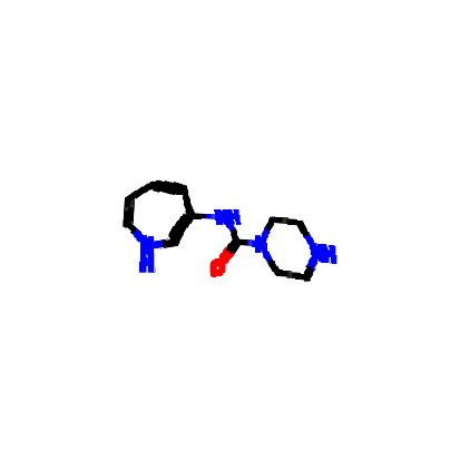 O=C(NC1=CNC=CC=C1)N1CCNCC1